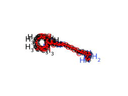 CO[C@H]1C[C@@H]2CC[C@@H](C)[C@@](O)(O2)C(=O)C(=O)N2CCCC[C@H]2C(=O)O[C@H]([C@H](N)C[C@@H]2CC[C@@H](OC(=O)N3CCc4nc(N5CCN(CCOCCOCCOCCOCCOCCC(=O)N6CCc7cc(Cn8nc(-c9cnc%10[nH]ccc%10c9)c9c(N)ncnc98)ccc7C6)CC5)ncc4C3)[C@H](OC)C2)CC(=O)[C@H](C)/C=C(\C)[C@@H](O)[C@@H](O)C(=O)[C@H](C)C[C@H](C)/C=C/C=C/C=C/1C